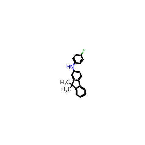 CC1(C)c2ccccc2-c2ccc(Nc3ccc(F)cc3)cc21